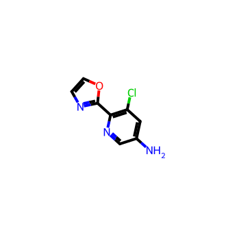 Nc1cnc(-c2ncco2)c(Cl)c1